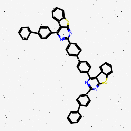 c1ccc(-c2ccc(-c3nc(-c4ccc(-c5ccc(-c6nc(-c7ccc(-c8ccccc8)cc7)c7c(n6)sc6ccccc67)cc5)cc4)c4c(n3)sc3ccccc34)cc2)cc1